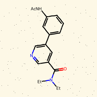 CCN(CC)C(=O)c1cncc(-c2cccc(NC(C)=O)c2)c1